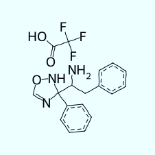 NC(Cc1ccccc1)C1(c2ccccc2)N=CON1.O=C(O)C(F)(F)F